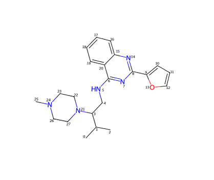 CC(C)C(CNc1nc(-c2ccco2)nc2ccccc12)N1CCN(C)CC1